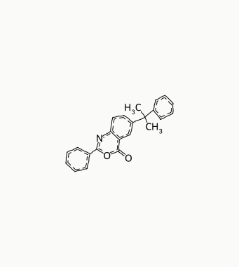 CC(C)(c1ccccc1)c1ccc2nc(-c3ccccc3)oc(=O)c2c1